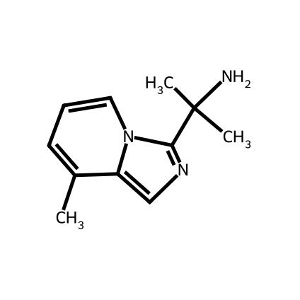 Cc1cccn2c(C(C)(C)N)ncc12